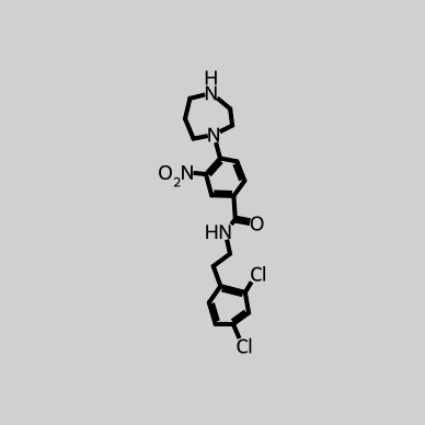 O=C(NCCc1ccc(Cl)cc1Cl)c1ccc(N2CCCNCC2)c([N+](=O)[O-])c1